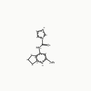 CCCc1cc(NC(=O)n2ccnc2)c2c(n1)CCC2